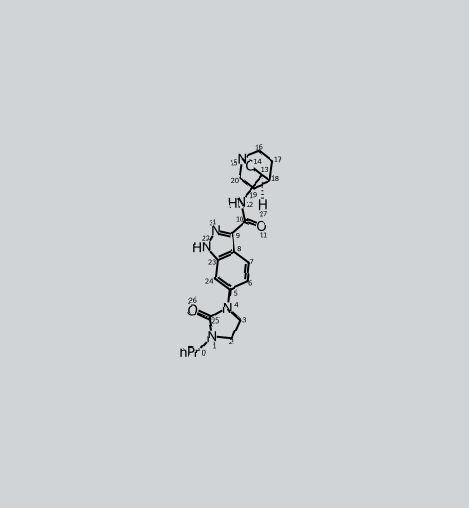 CCCN1CCN(c2ccc3c(C(=O)N[C@H]4CN5CCC4CC5)n[nH]c3c2)C1=O